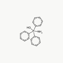 NP(O)(c1ccccc1)(c1ccccc1)c1ccccc1